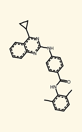 Cc1cccc(C)c1NC(=O)c1ccc(Nc2nc(C3CC3)c3ccccc3n2)cc1